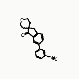 [C-]#[N+]c1cccc(-c2ccc3c(c2)C(=O)C2(CCOCC2)C3)c1